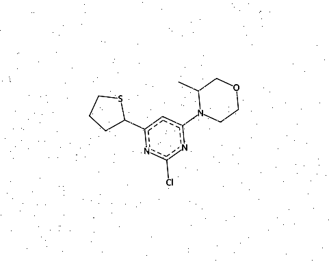 CC1COCCN1c1cc(C2CCCS2)nc(Cl)n1